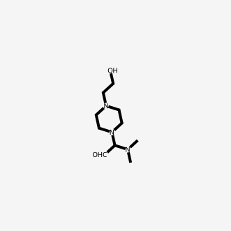 CN(C)C(C=O)N1CCN(CCO)CC1